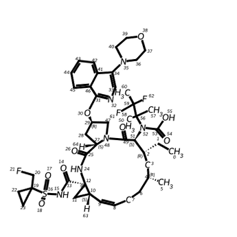 CC[C@@H]1C[C@H](C)CCC=C[C@@H]2C[C@@]2(C(=O)NS(=O)(=O)C2(CF)CC2)NC(=O)[C@@H]2C[C@@H](Oc3ncc(N4CCOCC4)c4ccccc34)CN2C(=O)[C@H]1N(C(=O)O)C(C)(C)C(C)(F)F